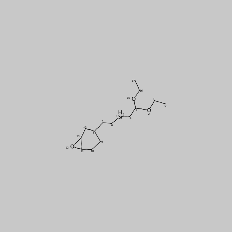 CCOC(C[SiH2]CCC1CCC2OC2C1)OCC